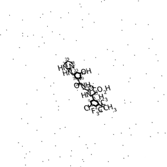 CC(C)(c1cc(Cl)cc(C(CC(=O)O)NC(=O)CNC(=O)c2cc(O)cc(NC3=NCCCN3)c2)c1)C(F)(F)F